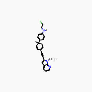 CN(CCF)c1ccc(C2(C)C=CC(C#Cc3cc4cccnc4n3C(=O)O)=CC2)cc1